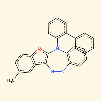 Cc1ccc2oc3c(c2c1)N=Nc1ccccc1N3c1ccccc1-c1ccccc1